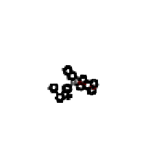 CC1(C)c2cc(N(c3ccc(-c4ccccc4)cc3)c3cc4ccccc4cc3-c3ccc(-c4ccccc4)cc3)ccc2-c2c(-c3ccccc3)cccc21